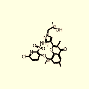 Cc1cc([C@@H](C)Oc2ccc(Cl)nc2S(N)(=O)=O)c2oc(-c3cnn(C[C@H](C)O)c3)c(C)c(=O)c2c1